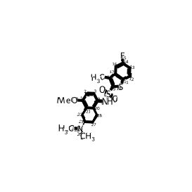 COc1ccc(NS(=O)(=O)c2sc3ccc(F)cc3c2C)c2c1C[C@@H](N(C)C)CC2